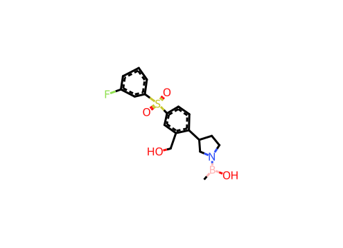 CB(O)N1CCC(c2ccc(S(=O)(=O)c3cccc(F)c3)cc2CO)C1